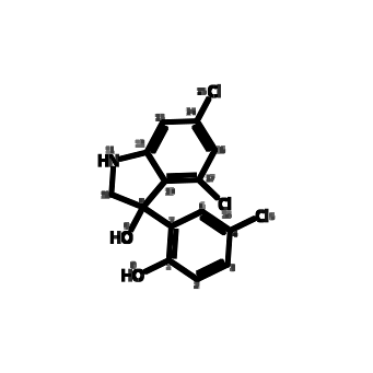 Oc1ccc(Cl)cc1C1(O)CNc2cc(Cl)cc(Cl)c21